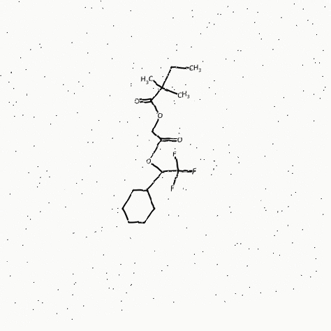 CCC(C)(C)C(=O)OCC(=O)OC(C1CCCCC1)C(F)(F)F